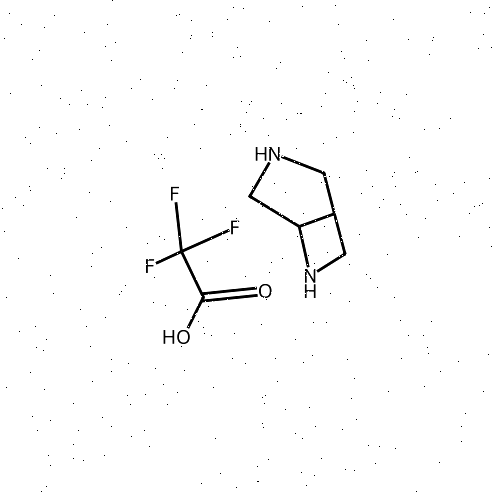 C1NCC2NCC12.O=C(O)C(F)(F)F